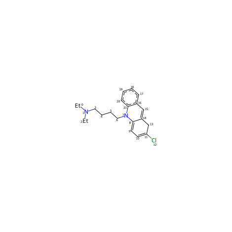 CCN(CC)CCCCN1C2=CC=C(Cl)CC2=Cc2ccccc21